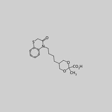 CC1(C(=O)O)OCC(CCCCN2C(=O)CSc3ccccc32)CO1